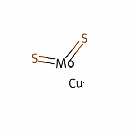 [Cu].[S]=[Mo]=[S]